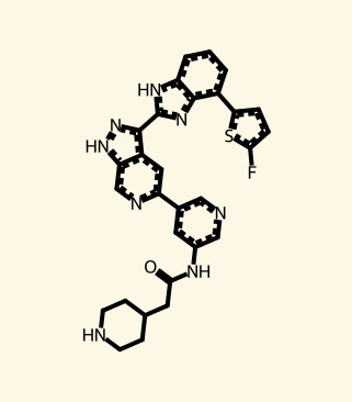 O=C(CC1CCNCC1)Nc1cncc(-c2cc3c(-c4nc5c(-c6ccc(F)s6)cccc5[nH]4)n[nH]c3cn2)c1